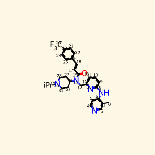 Cc1cnccc1Nc1cccc(CN(C(=O)/C=C/c2ccc(C(F)(F)F)cc2)C2CCN(C(C)C)CC2)n1